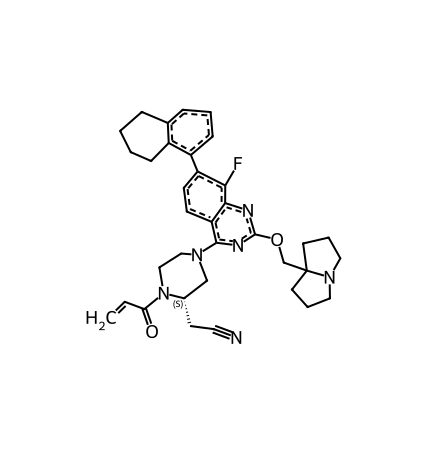 C=CC(=O)N1CCN(c2nc(OCC34CCCN3CCC4)nc3c(F)c(-c4cccc5c4CCCC5)ccc23)C[C@@H]1CC#N